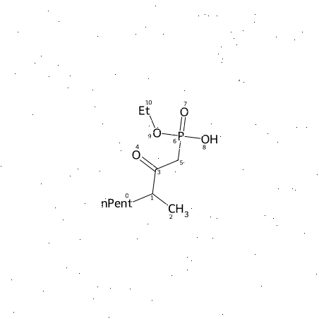 CCCCCC(C)C(=O)CP(=O)(O)OCC